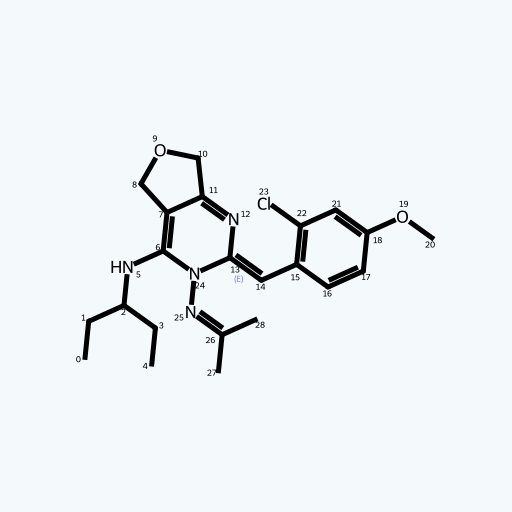 CCC(CC)NC1=C2COCC2=N/C(=C\c2ccc(OC)cc2Cl)N1N=C(C)C